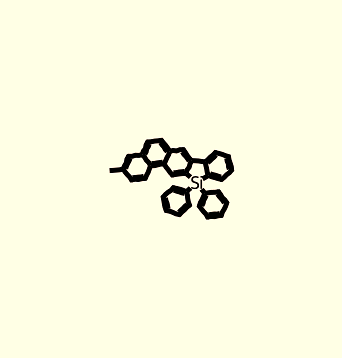 Cc1ccc2c(ccc3cc4c(cc32)[Si](c2ccccc2)(c2ccccc2)c2ccccc2-4)c1